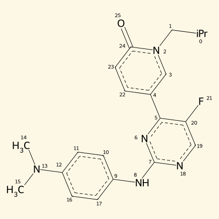 CC(C)Cn1cc(-c2nc(Nc3ccc(N(C)C)cc3)ncc2F)ccc1=O